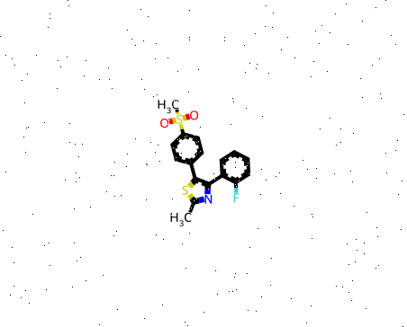 Cc1nc(-c2ccccc2F)c(-c2ccc(S(C)(=O)=O)cc2)s1